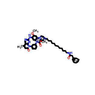 COc1cc(N2CCN(CCCCCCCCCCCCNC(=O)CC34CC5CC(CC3C5)C4)CC2)ccc1Nc1ncc2c(C)cc(=O)n(-c3cccc(NC(=O)C(C)(C)C)c3)c2n1